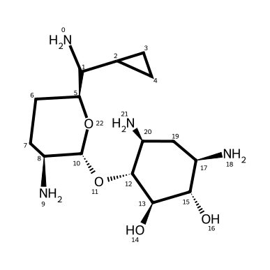 NC(C1CC1)[C@@H]1CC[C@H](N)[C@@H](O[C@H]2[C@H](O)[C@@H](O)[C@H](N)C[C@@H]2N)O1